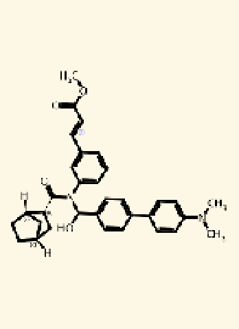 COC(=O)/C=C/c1cccc(N(C(=O)[C@@H]2C[C@@H]3CC[C@H]2C3)C(O)c2ccc(-c3ccc(N(C)C)cc3)cc2)c1